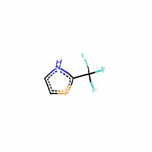 FC(F)(F)c1[nH]ccp1